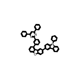 c1ccc(-c2cc(-c3ccccc3)nc(-c3cccc(-c4cccc5oc6ccc(-c7ccc8c(c7)c7ccccc7n8-c7ccccc7)cc6c45)c3)n2)cc1